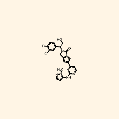 Cn1nccc1Nc1nccc(-c2cc3n(c2)C(=O)N([C@H](CO)c2ccc(F)c(Cl)c2)C3)n1